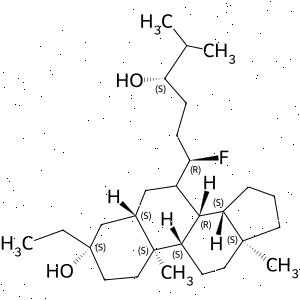 CC[C@]1(O)CC[C@@]2(C)[C@@H](CC([C@H](F)CC[C@H](O)C(C)C)[C@@H]3[C@@H]4CCC[C@@]4(C)CC[C@@H]32)C1